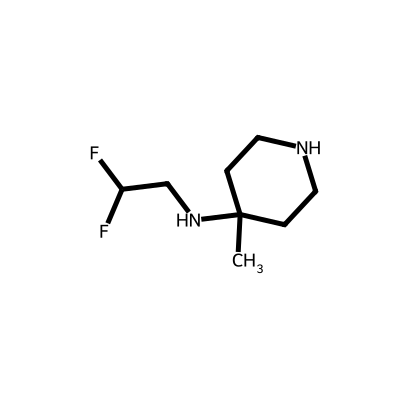 CC1(NCC(F)F)CCNCC1